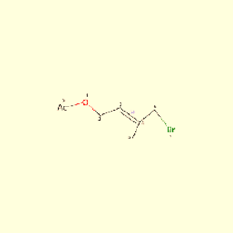 CC(=O)OC/C=C(\C)CBr